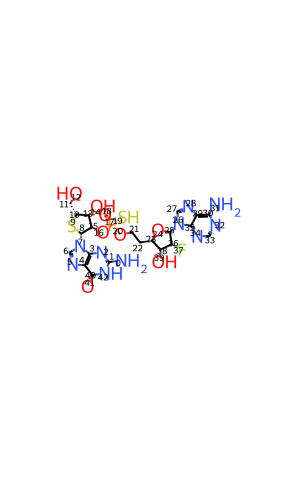 Nc1nc2c(ncn2[C@@H]2S[C@H](CO)[C@@H](O)[C@H]2OP(=O)(S)OCC[C@H]2OC(n3cnc4c(N)ncnc43)[C@@H](F)[C@@H]2O)c(=O)[nH]1